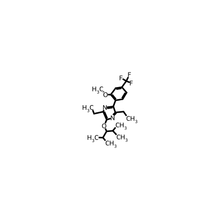 CCc1nc(-c2ccc(C(F)(F)F)cc2OC)c(CC)nc1OC(C(C)C)C(C)C